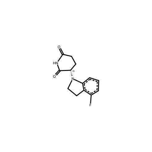 O=C1CC[C@H](N2CCc3c(F)cccc32)C(=O)N1